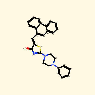 O=C1N=C(N2CCN(c3ccccc3)CC2)SC1=Cc1cc2ccccc2c2ccccc12